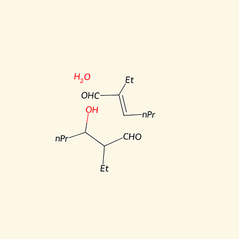 CCC/C=C(/C=O)CC.CCCC(O)C(C=O)CC.O